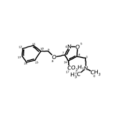 CN(C)Cc1onc(OCc2ccccc2)c1C(=O)O